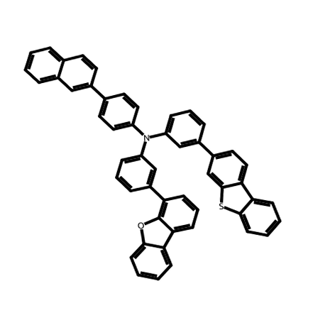 c1cc(-c2ccc3c(c2)sc2ccccc23)cc(N(c2ccc(-c3ccc4ccccc4c3)cc2)c2cccc(-c3cccc4c3oc3ccccc34)c2)c1